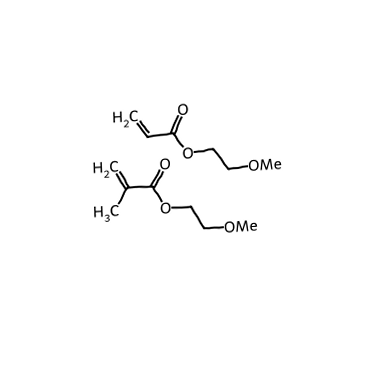 C=C(C)C(=O)OCCOC.C=CC(=O)OCCOC